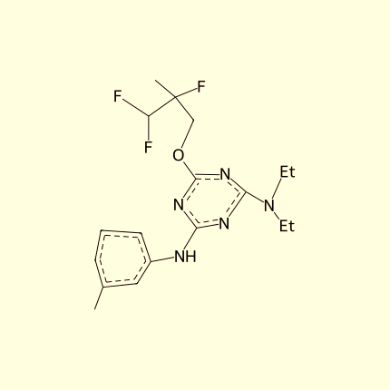 CCN(CC)c1nc(Nc2cccc(C)c2)nc(OCC(C)(F)C(F)F)n1